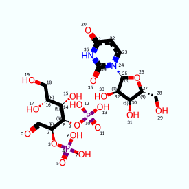 O=C[C@H](OP(=O)(O)O)[C@@H](OP(=O)(O)O)[C@@H](O)[C@H](O)CO.O=c1ccn([C@@H]2O[C@H](CO)[C@@H](O)[C@H]2O)c(=O)[nH]1